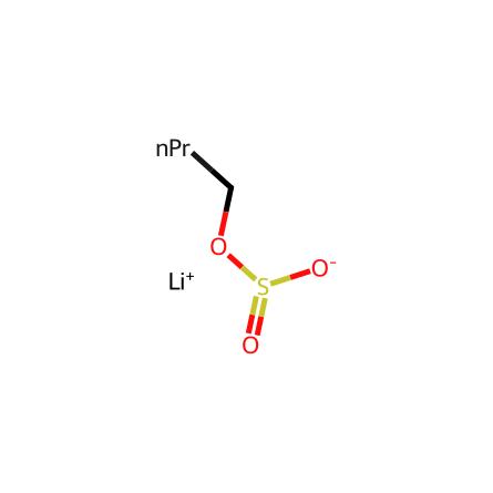 CCCCOS(=O)[O-].[Li+]